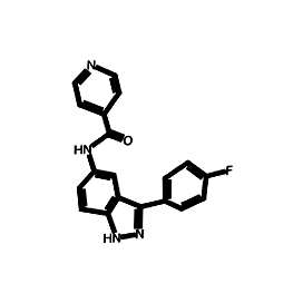 O=C(Nc1ccc2[nH]nc(-c3ccc(F)cc3)c2c1)c1ccncc1